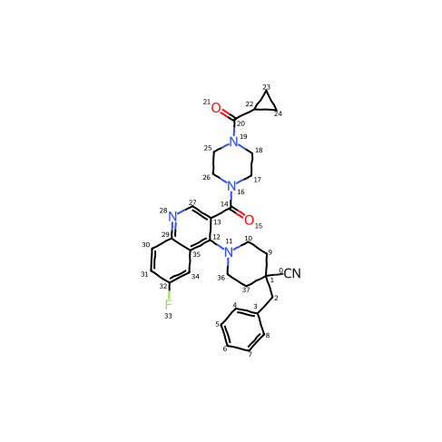 N#CC1(Cc2ccccc2)CCN(c2c(C(=O)N3CCN(C(=O)C4CC4)CC3)cnc3ccc(F)cc23)CC1